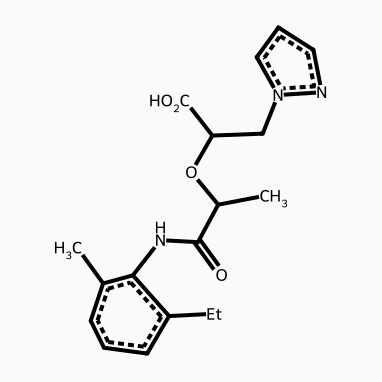 CCc1cccc(C)c1NC(=O)C(C)OC(Cn1cccn1)C(=O)O